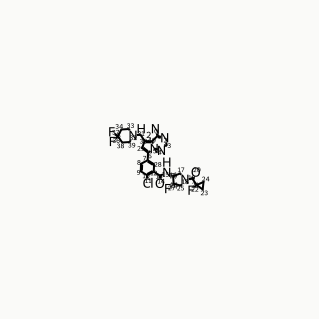 Nc1ncnn2c(-c3ccc(Cl)c(C(=O)N[C@@H]4CN(C(=O)C5(F)CC5)C[C@@H]4F)c3)cc(CN3CCC(F)(F)CC3)c12